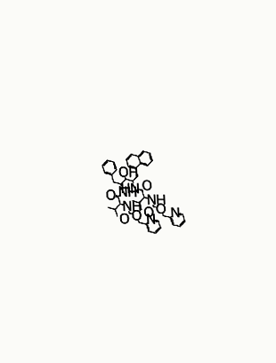 CC(C)[C@H](NC(=O)OCc1ccccn1)C(=O)NC(Cc1ccccc1)C(O)[C@@H](Cc1cccc2ccccc12)NC(=O)[C@@H](NC(=O)OCc1ccccn1)C(C)C